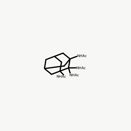 CC(=O)NC12CC3CC(C1)CC(NC(C)=O)(C3)C2(NC(C)=O)NC(C)=O